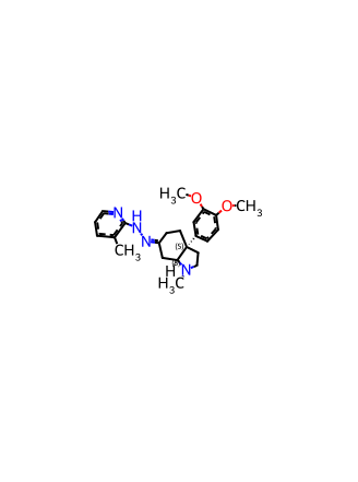 COc1ccc([C@@]23CCC(=NNc4ncccc4C)C[C@@H]2N(C)CC3)cc1OC